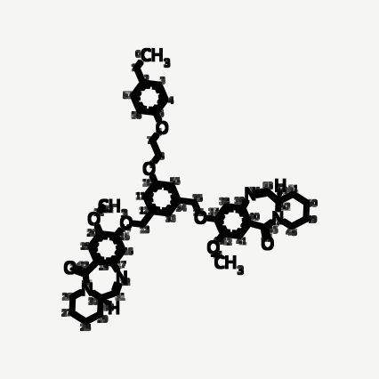 CCc1ccc(OCCOc2cc(COc3cc4c(cc3OC)C(=O)N3CCCC[C@H]3C=N4)cc(COc3cc4c(cc3OC)C(=O)N3CCCC[C@H]3C=N4)c2)cc1